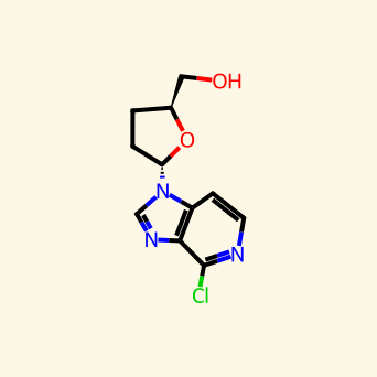 OC[C@@H]1CC[C@@H](n2cnc3c(Cl)nccc32)O1